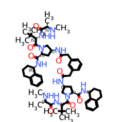 CN[C@@H](C)C(=O)N[C@H](C(=O)N1C[C@@H](NC(=O)Cc2cccc(CC(=O)N[C@H]3C[C@@H](C(=O)N[C@@H]4CCCc5ccccc54)N(C(=O)[C@@H](NC(=O)[C@H](C)NC)C(C)(C)C)C3)c2)C[C@H]1C(=O)N[C@@H]1CCCc2ccccc21)C(C)(C)C